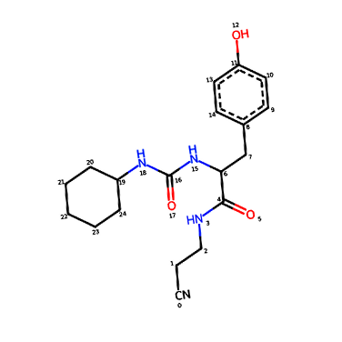 N#CCCNC(=O)C(Cc1ccc(O)cc1)NC(=O)NC1CCCCC1